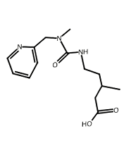 CC(CCNC(=O)N(C)Cc1ccccn1)CC(=O)O